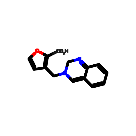 O=C(O)c1occc1CN1C=c2ccccc2=NC1